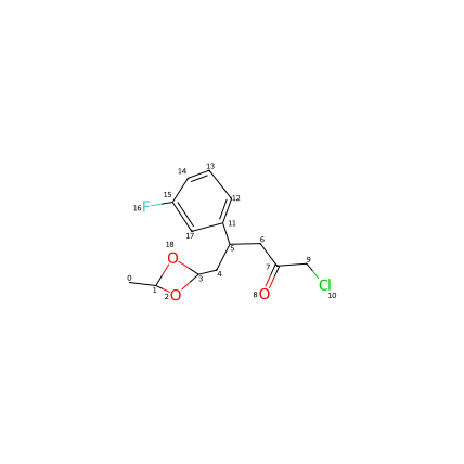 CC1OC(CC(CC(=O)CCl)c2cccc(F)c2)O1